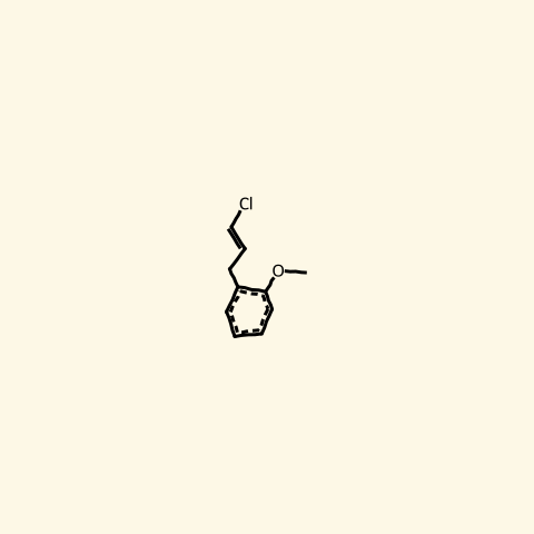 COc1ccccc1CC=CCl